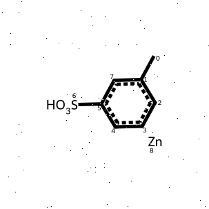 Cc1cccc(S(=O)(=O)O)c1.[Zn]